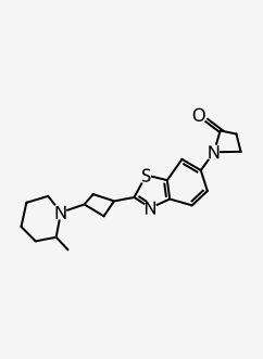 CC1CCCCN1C1CC(c2nc3ccc(N4CCC4=O)cc3s2)C1